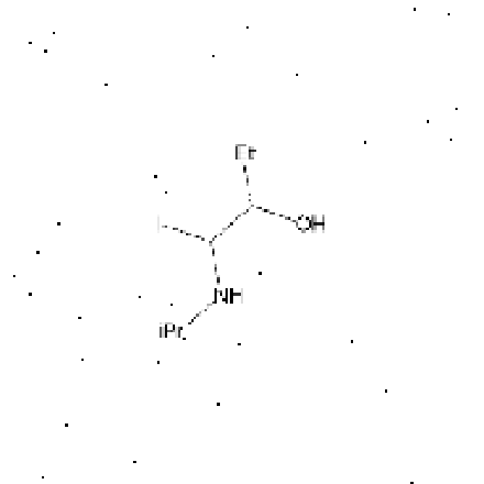 CCC(O)C(I)NC(C)C